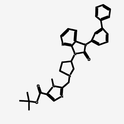 Cn1c(C(=O)OC(C)(C)C)cnc1CN1CCC(n2c(=O)n(-c3cccc(-c4ccccc4)c3)c3cccnc32)C1